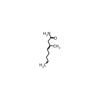 C=CCC/C=C(\C)CC(N)=O